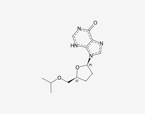 CC(C)OC[C@@H]1CC[C@H](n2cnc3c(=O)nc[nH]c32)O1